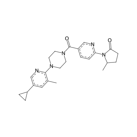 Cc1cc(C2CC2)cnc1N1CCN(C(=O)c2ccc(N3C(=O)CCC3C)nc2)CC1